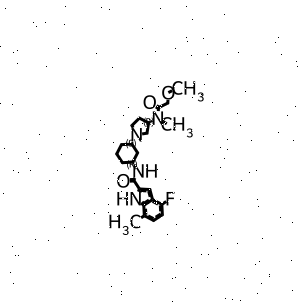 COCC(=O)N(C)[C@@H]1CCN([C@H]2CCC[C@@H](NC(=O)c3cc4c(F)ccc(C)c4[nH]3)C2)C1